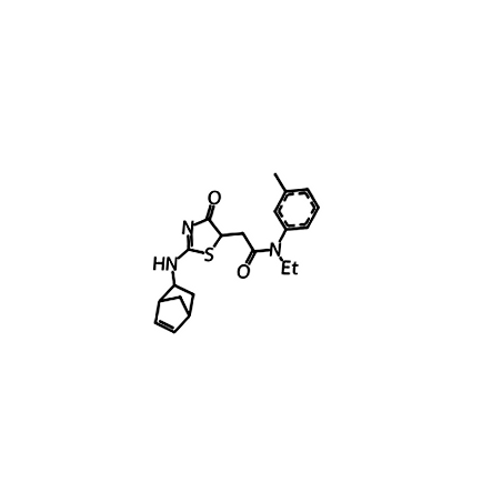 CCN(C(=O)CC1SC(NC2CC3C=CC2C3)=NC1=O)c1cccc(C)c1